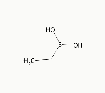 [CH2]CB(O)O